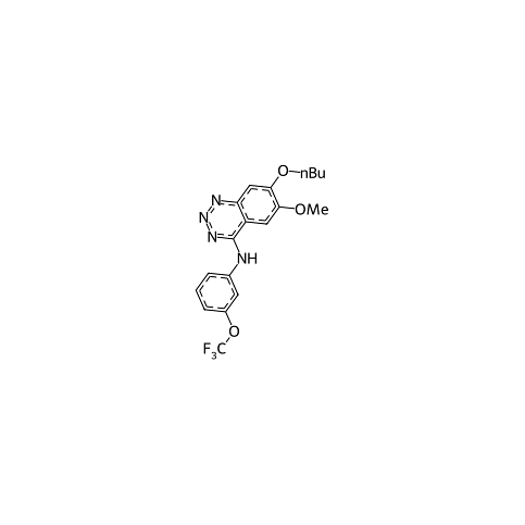 CCCCOc1cc2nnnc(Nc3cccc(OC(F)(F)F)c3)c2cc1OC